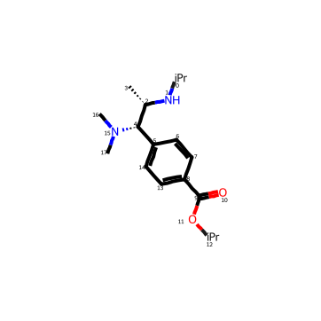 CC(C)N[C@@H](C)[C@H](c1ccc(C(=O)OC(C)C)cc1)N(C)C